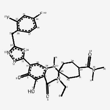 CCN1C(=O)c2c(O)c(=O)c(-c3nnc(Cc4ccc(F)cc4F)s3)cn2N(C)C12CCC(C(=O)N(C)C)CC2